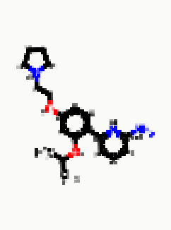 CC(C)Oc1cc(OCCN2CCCC2)ccc1-c1cccc(N)n1